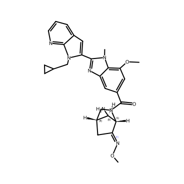 CO/N=C1\C[C@@H]2CN(C(=O)c3cc(OC)c4c(c3)nc(-c3cc5cccnc5n3CC3CC3)n4C)[C@H]1[C@@H]2N